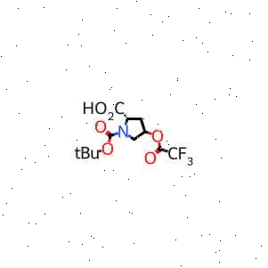 CC(C)(C)OC(=O)N1CC(OC(=O)C(F)(F)F)C[C@H]1C(=O)O